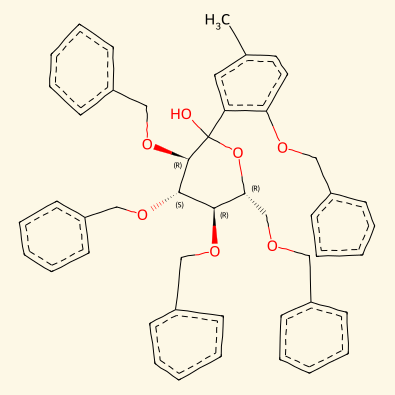 Cc1ccc(OCc2ccccc2)c(C2(O)O[C@H](COCc3ccccc3)[C@@H](OCc3ccccc3)[C@H](OCc3ccccc3)[C@H]2OCc2ccccc2)c1